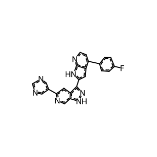 Fc1ccc(-c2ccnc3[nH]c(-c4n[nH]c5cnc(-c6cncnc6)cc45)cc23)cc1